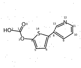 O=C(O)Oc1ccc(-c2cccnc2)s1